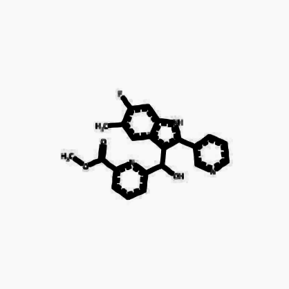 COC(=O)c1cccc(C(O)c2c(-c3cccnc3)[nH]c3cc(F)c(C)cc23)n1